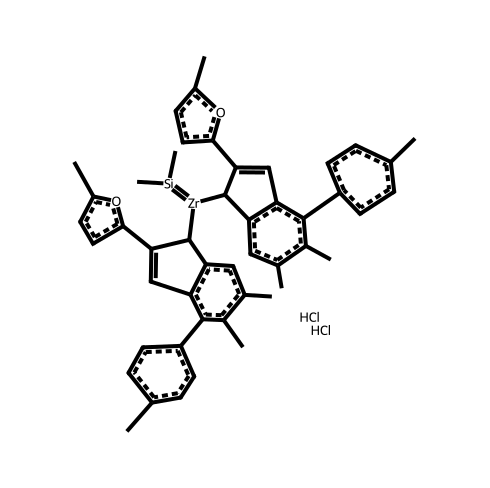 Cc1ccc(-c2c(C)c(C)cc3c2C=C(c2ccc(C)o2)[CH]3[Zr]([CH]2C(c3ccc(C)o3)=Cc3c2cc(C)c(C)c3-c2ccc(C)cc2)=[Si](C)C)cc1.Cl.Cl